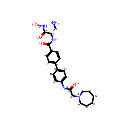 NC[C@H](NC(=O)c1ccc(-c2ccc(NC(=O)CN3CCCCCC3)cc2)cc1)C(=O)NO